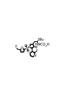 CC(C)(C)C(Cc1cn(S(=O)(=O)c2ccc(CF)o2)c(-c2cccnc2F)c1F)NC(=O)O